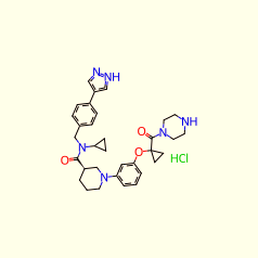 Cl.O=C([C@@H]1CCCN(c2cccc(OC3(C(=O)N4CCNCC4)CC3)c2)C1)N(Cc1ccc(-c2cn[nH]c2)cc1)C1CC1